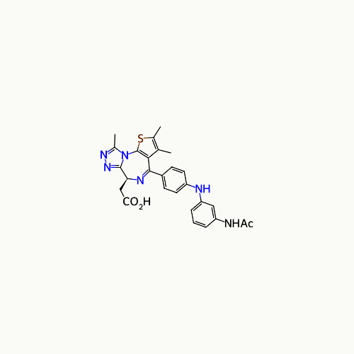 CC(=O)Nc1cccc(Nc2ccc(C3=N[C@@H](CC(=O)O)c4nnc(C)n4-c4sc(C)c(C)c43)cc2)c1